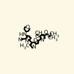 COc1cc(C(=O)N(C)C)cnc1-c1cc2ncc(C)c(-c3ccc(NC4CCOCC4)c(C#N)n3)c2o1